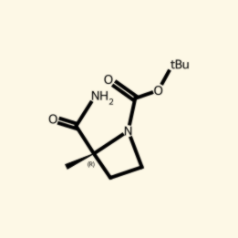 CC(C)(C)OC(=O)N1CC[C@]1(C)C(N)=O